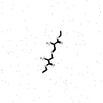 CCOC(=O)C(N)CSCC(N)C(=O)OCC